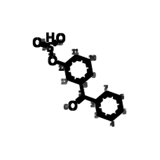 O=C(c1ccccc1)c1cccc(O[SH](=O)=O)c1